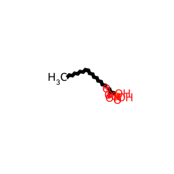 CCCCCCCC/C=C\CCCCCCCCOCC(COP(=O)(O)O)OO